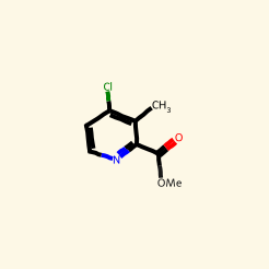 COC(=O)c1nccc(Cl)c1C